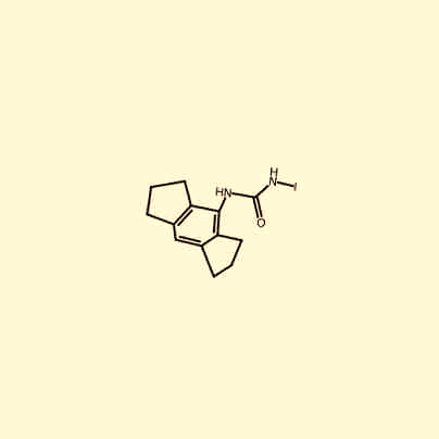 O=C(NI)Nc1c2c(cc3c1CCC3)CCC2